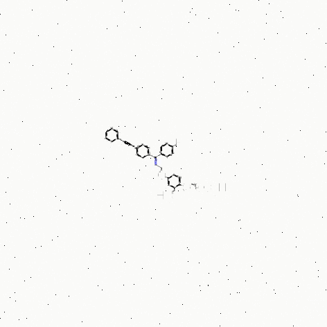 Cc1cc(OC/C=C(\c2ccc(F)cc2)c2ccc(C#Cc3ccccc3)cc2)ccc1OCC(=O)O